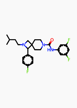 CC(C)CCN1CC2(CCN(C(=O)Nc3cc(F)cc(F)c3)CC2)C1c1ccc(F)cc1